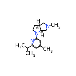 Cc1cc(C(C)C)nc(N2CC[C@@H]3CN(C)C[C@H]32)c1